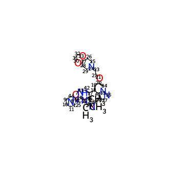 CC(C)(C)NCC(=O)N1C2CC1CN(c1ccc(-c3cc(OCCN4CCC5(CC4)OCCO5)cn4ncc(C#N)c34)cn1)C2